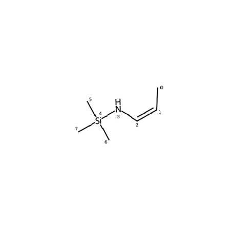 C/C=C\N[Si](C)(C)C